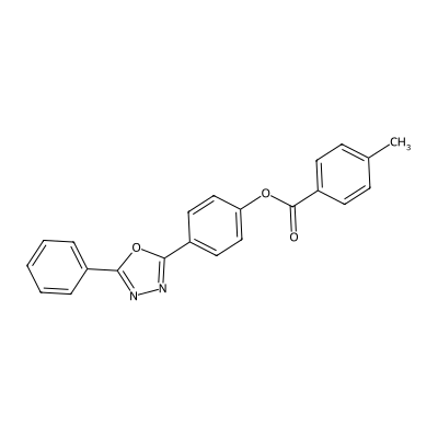 Cc1ccc(C(=O)Oc2ccc(-c3nnc(-c4ccccc4)o3)cc2)cc1